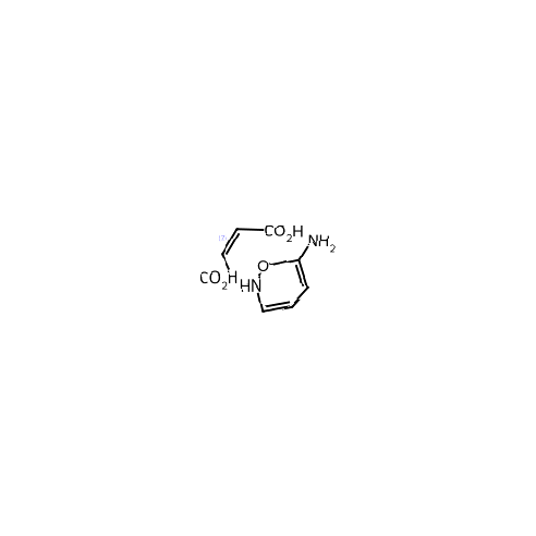 NC1=CC=CNO1.O=C(O)/C=C\C(=O)O